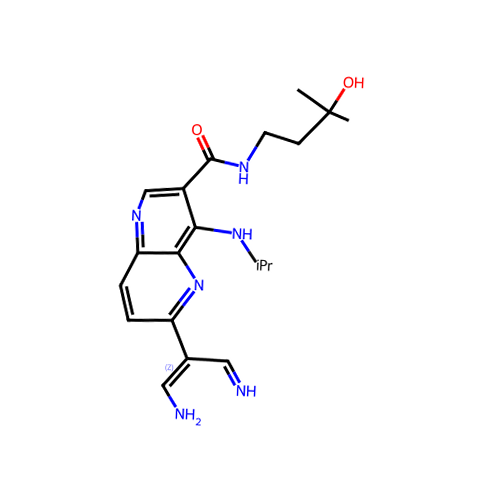 CC(C)Nc1c(C(=O)NCCC(C)(C)O)cnc2ccc(/C(C=N)=C/N)nc12